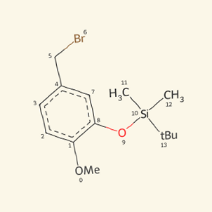 COc1ccc(CBr)cc1O[Si](C)(C)C(C)(C)C